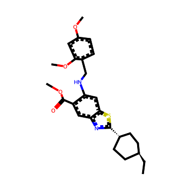 CC[C@H]1CC[C@H](c2nc3cc(C(=O)OC)c(NCc4ccc(OC)cc4OC)cc3s2)CC1